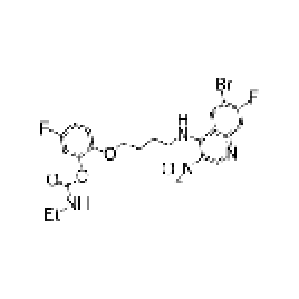 CCNC(=O)Oc1cc(F)ccc1OCCCCNc1c([N+](=O)[O-])cnc2cc(F)c(Br)cc12